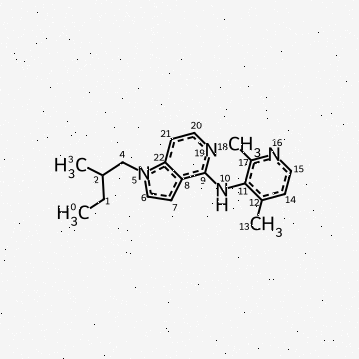 CCC(C)Cn1ccc2c(Nc3c(C)ccnc3C)nccc21